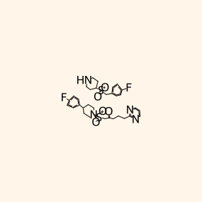 O=C(CCCc1ncccn1)CS(=O)(=O)N1CCC(c2ccc(F)cc2)CC1.O=S(=O)(Cc1ccc(F)cc1)C1CCNCC1